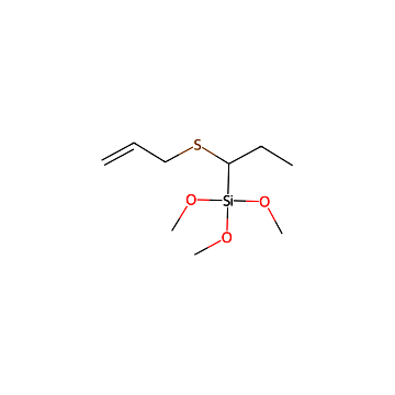 C=CCSC(CC)[Si](OC)(OC)OC